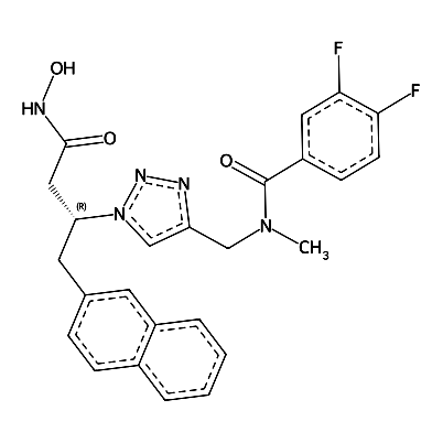 CN(Cc1cn([C@@H](CC(=O)NO)Cc2ccc3ccccc3c2)nn1)C(=O)c1ccc(F)c(F)c1